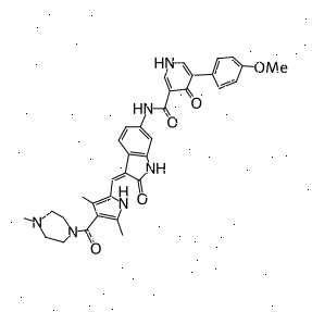 COc1ccc(-c2c[nH]cc(C(=O)Nc3ccc4c(c3)NC(=O)/C4=C\c3[nH]c(C)c(C(=O)N4CCN(C)CC4)c3C)c2=O)cc1